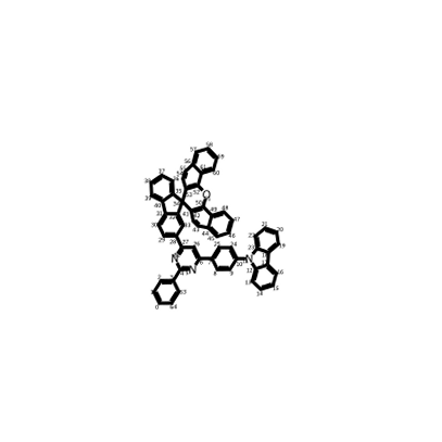 c1ccc(-c2nc(-c3ccc(-n4c5ccccc5c5ccccc54)cc3)cc(-c3ccc4c(c3)C3(c5ccccc5-4)c4ccc5ccccc5c4Oc4c3ccc3ccccc43)n2)cc1